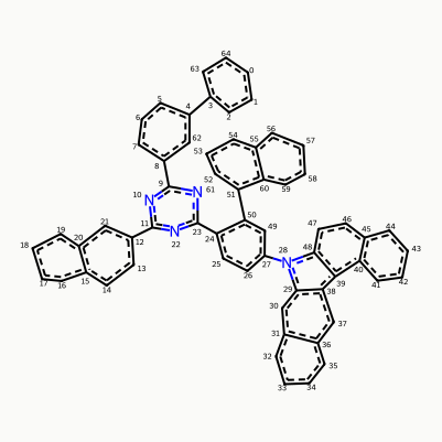 c1ccc(-c2cccc(-c3nc(-c4ccc5ccccc5c4)nc(-c4ccc(-n5c6cc7ccccc7cc6c6c7ccccc7ccc65)cc4-c4cccc5ccccc45)n3)c2)cc1